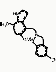 COc1cc(C)c2[nH]ccc2c1CN1Cc2ccc(C#N)cc2C1